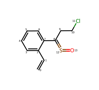 C=Cc1ccccc1C(CCCl)=S=O